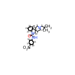 C=C(C)CN1CCC2(CC1)CN(C(=O)Nc1ccc([N+](=O)[O-])cc1)c1ccccc12